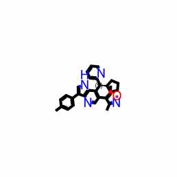 Cc1ccc(-c2c[nH]c3c([C@@H](c4ccccn4)C4CCCC4)c(-c4c(C)noc4C)cnc23)cc1